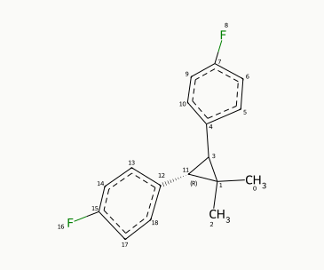 CC1(C)C(c2ccc(F)cc2)[C@H]1c1ccc(F)cc1